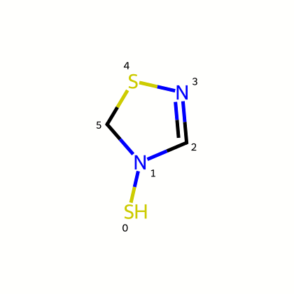 SN1C=NSC1